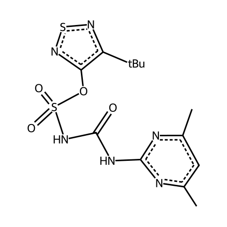 Cc1cc(C)nc(NC(=O)NS(=O)(=O)Oc2nsnc2C(C)(C)C)n1